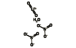 O.O=[N+]([O-])[O-].O=[N+]([O-])[O-].[O]=[U+2]=[O]